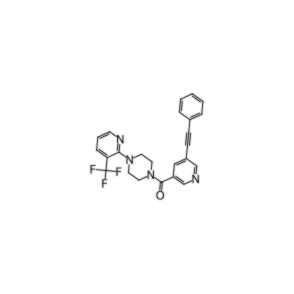 O=C(c1cncc(C#Cc2ccccc2)c1)N1CCN(c2ncccc2C(F)(F)F)CC1